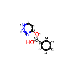 OB(Oc1ccnnn1)c1ccccc1